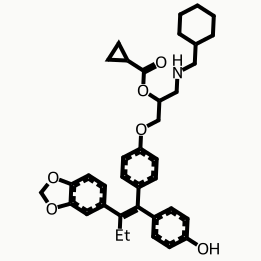 CC/C(=C(\c1ccc(O)cc1)c1ccc(OCC(CNCC2CCCCC2)OC(=O)C2CC2)cc1)c1ccc2c(c1)OCO2